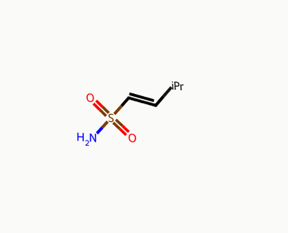 CC(C)/C=C/S(N)(=O)=O